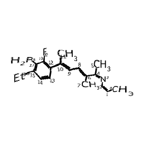 C\C=C/N=C(C)\C(C)=C\C=C(/C)c1ccc(CC)c(P)c1F